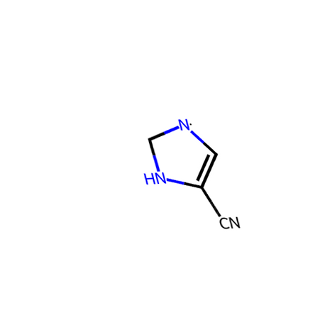 N#CC1=C[N]CN1